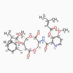 COc1ccnc(C(=O)N[C@H]2COC(=O)[C@H](Cc3ccccc3)[C@@H](OC(=O)C(C)C)[C@H](C)OC2=O)c1OC(=O)C=C(C)C